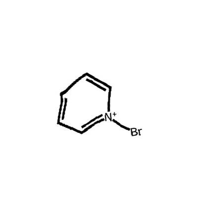 Br[n+]1ccccc1